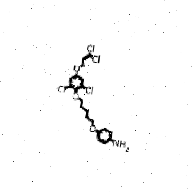 Nc1ccc(OCCCCCOc2c(Cl)cc(OCC=C(Cl)Cl)cc2Cl)cc1